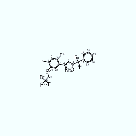 Cc1cc(F)c(-c2cc(C(F)(F)c3ccccc3)on2)cc1SCC(F)(F)F